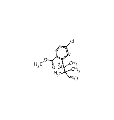 COC(=O)c1ccc(Cl)nc1C(C)(C)C(C)(C)C=O